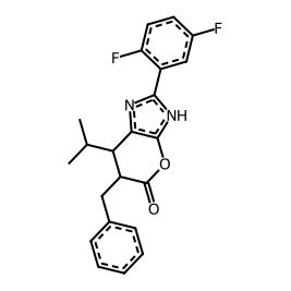 CC(C)C1c2nc(-c3cc(F)ccc3F)[nH]c2OC(=O)C1Cc1ccccc1